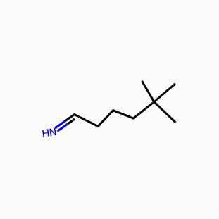 CC(C)(C)CCCC=N